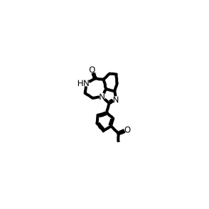 CC(=O)c1cccc(C2=NC3CCCC4C(=O)NCCN2C34)c1